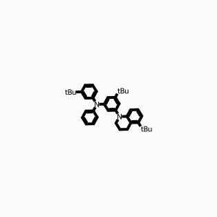 CC(C)(C)c1cccc(N(c2ccccc2)c2cc(N3CCCc4c3cccc4C(C)(C)C)cc(C(C)(C)C)c2)c1